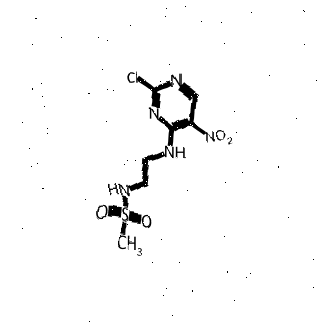 CS(=O)(=O)NCCNc1nc(Cl)ncc1[N+](=O)[O-]